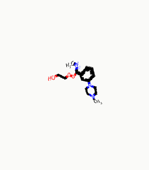 C/N=C(\OOCCO)c1cccc(N2CCN(C)CC2)c1